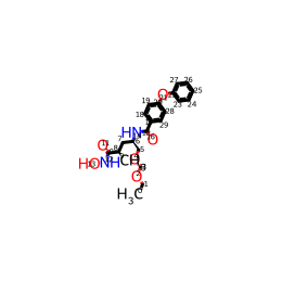 CCOCOC[C@@H](C[C@@H](C)C(=O)NO)NC(=O)c1ccc(Oc2ccccc2)cc1